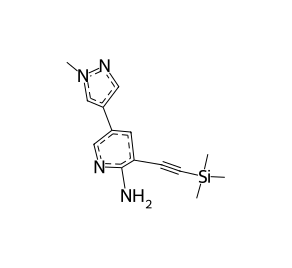 Cn1cc(-c2cnc(N)c(C#C[Si](C)(C)C)c2)cn1